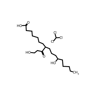 CCCCCC(O)CCCC(CCCCCCC(=O)O)C(=O)CCO.ClC(Cl)Cl